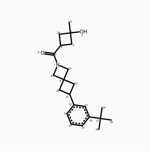 CC1(O)CC(C(=O)N2CC3(CC(c4cccc(C(C)(C)C)c4)C3)C2)C1